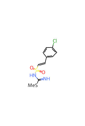 CSC(=N)NS(=O)(=O)C=Cc1ccc(Cl)cc1